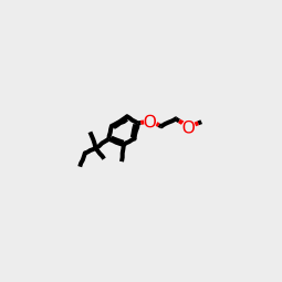 CCC(C)(C)c1ccc(OCCOC)cc1C